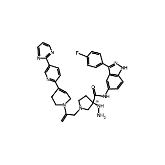 C=C(CN1CC[C@](NN)(C(=O)Nc2ccc3[nH]nc(-c4ccc(F)cc4)c3c2)C1)N1CC=C(c2ccc(-c3ncccn3)cn2)CC1